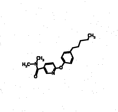 CCCCCc1ccc(Oc2ccc(C(=O)N(C)C)cn2)cc1